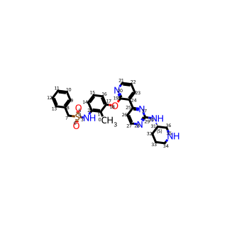 Cc1c(NS(=O)(=O)Cc2ccccc2)cccc1Oc1ncccc1-c1ccnc(N[C@H]2CCCNC2)n1